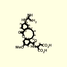 COc1cc2c(c(C(=O)NC(CC(=O)O)C(=O)O)c1)CCCCc1cc(NC(=N)N)ccc1C(=O)O2